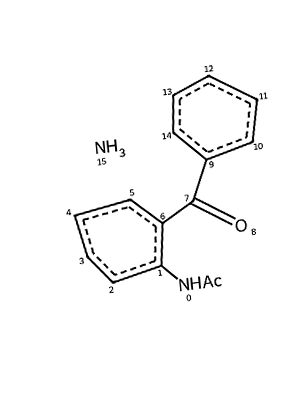 CC(=O)Nc1ccccc1C(=O)c1ccccc1.N